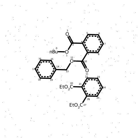 CCCCOC(=O)c1ccccc1C(=O)OCc1ccccc1.CCOC(=O)c1ccccc1C(=O)OCC